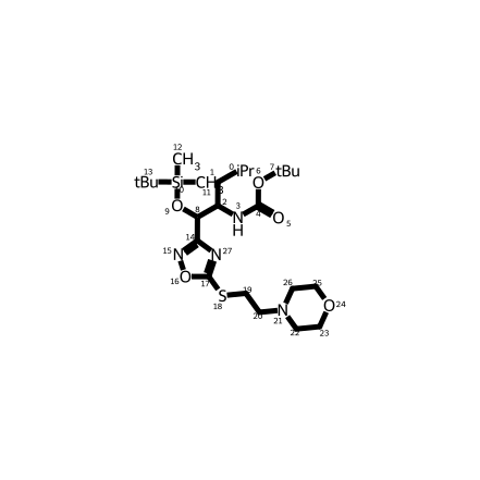 CC(C)CC(NC(=O)OC(C)(C)C)C(O[Si](C)(C)C(C)(C)C)c1noc(SCCN2CCOCC2)n1